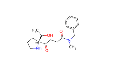 CN(Cc1ccccc1)C(=O)CCC(=O)[C@@]1(C(O)C(F)(F)F)CCCN1